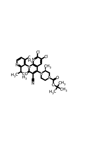 Cc1ccnc(C(C)C)c1-n1c(=O)c(C#N)c(N2CCN(C(=O)OC(C)(C)C)C[C@@H]2C)c2cc(Cl)c(Cl)nc21